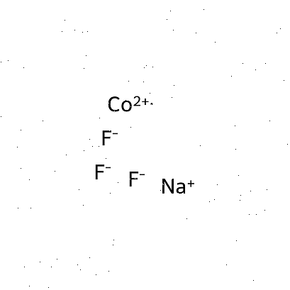 [Co+2].[F-].[F-].[F-].[Na+]